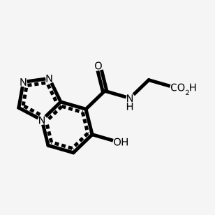 O=C(O)CNC(=O)c1c(O)ccn2cnnc12